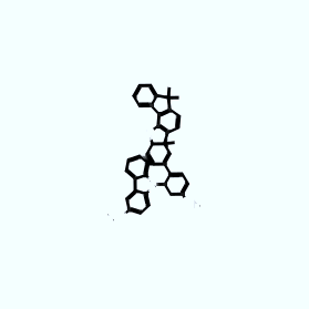 CC1(C)c2ccccc2-c2c1ccc1c2SC2C=CC(C3=CC=C(C#N)CC3n3c4ccccc4c4cc(C#N)ccc43)=CC12C